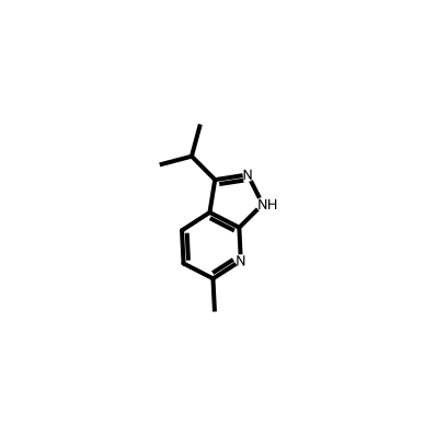 Cc1ccc2c(C(C)C)n[nH]c2n1